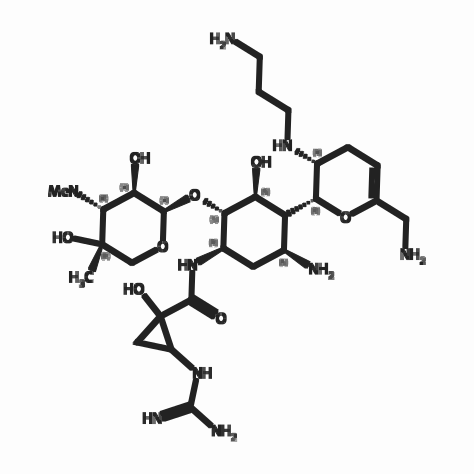 CN[C@@H]1[C@@H](O)[C@@H](O[C@H]2[C@H](NC(=O)C3(O)CC3NC(=N)N)C[C@H](N)C([C@H]3OC(CN)=CC[C@H]3NCCCN)[C@@H]2O)OC[C@]1(C)O